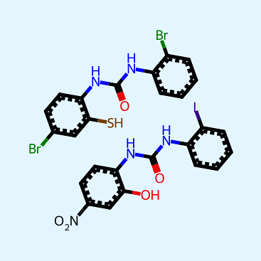 O=C(Nc1ccc(Br)cc1S)Nc1ccccc1Br.O=C(Nc1ccc([N+](=O)[O-])cc1O)Nc1ccccc1I